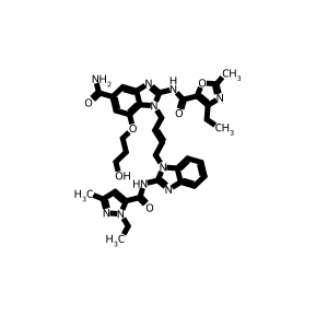 CCc1nc(C)oc1C(=O)Nc1nc2cc(C(N)=O)cc(OCCCO)c2n1CC=CCn1c(NC(=O)c2cc(C)nn2CC)nc2ccccc21